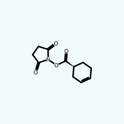 O=C(ON1C(=O)CCC1=O)[C@@H]1CC=CCC1